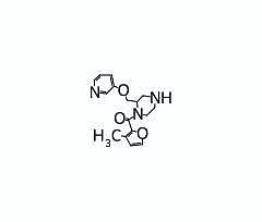 Cc1ccoc1C(=O)N1CCNCC1COc1cccnc1